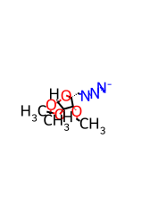 CCO[C@@H]1[C@H]2OC(C)(C)O[C@H]2O[C@@H]1CN=[N+]=[N-]